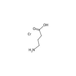 NCCCC(=O)O.[Cr]